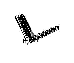 CO.ClCCl.ClCCl.ClCCl.ClCCl.ClCCl.ClCCl.ClCCl.ClCCl.ClCCl.ClCCl.ClCCl.ClCCl.ClCCl.ClCCl.ClCCl.ClCCl.ClCCl.ClCCl